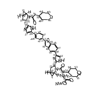 COC(=O)N[C@H](C(=O)N1[C@@H]2C[C@@H]2C[C@H]1c1nc(-c2ccc3oc(-c4ccc(-c5cnc([C@@H]6C[C@H]7C[C@H]7N6C(=O)CC6CCOCC6)[nH]5)cc4)cc3c2)c[nH]1)C1CCOCC1